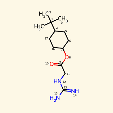 CC(C)(C)C1CCC(OC(=O)CNC(=N)N)CC1